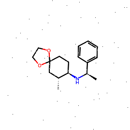 C[C@@H]1CC2(CC[C@H]1N[C@H](C)c1ccccc1)OCCO2